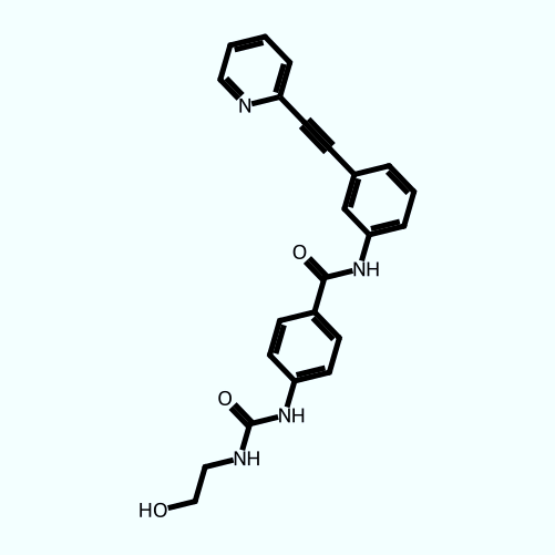 O=C(NCCO)Nc1ccc(C(=O)Nc2cccc(C#Cc3ccccn3)c2)cc1